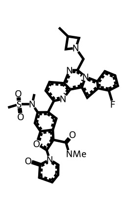 CNC(=O)c1c(-n2ccccc2=O)oc2cc(N(C)S(C)(=O)=O)c(-c3ccc4nc(CN5CC(C)C5)n5c6cccc(F)c6cc5c4n3)cc12